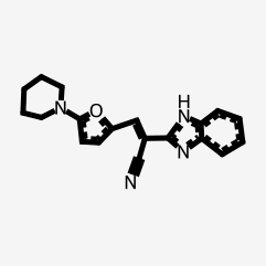 N#CC(=Cc1ccc(N2CCCCC2)o1)c1nc2ccccc2[nH]1